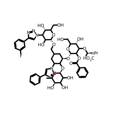 CCC[C@H](OC1C(OC(=O)c2ccccc2)[C@H](O[C@@H]2CC(CO[C@H]3OC(CO)[C@@H](O)C(n4cc(-c5cccc(F)c5)nn4)C3O)CC(n3cc(-c4ccccc4)nn3)C2O[C@@H]2OC(C)[C@H](O)C(O)C2O)OC(CO)[C@@H]1O)C(=O)O